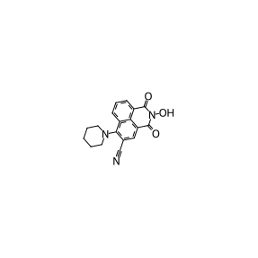 N#Cc1cc2c3c(cccc3c1N1CCCCC1)C(=O)N(O)C2=O